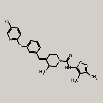 Cc1noc(NC(=O)N2CCC(=Cc3cccc(Oc4ccc(Cl)cn4)c3)C(C)C2)c1C